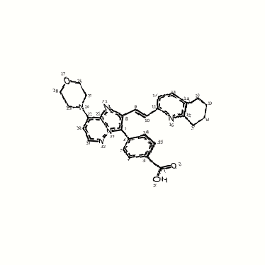 O=C(O)c1ccc(-c2c(C=Cc3ccc4c(n3)CCCC4)nc3c(N4CCOCC4)ccnn23)cc1